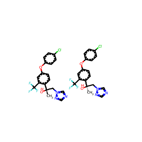 C[C@@](O)(Cn1cncn1)c1ccc(Oc2ccc(Cl)cc2)cc1C(F)(F)F.C[C@](O)(Cn1cncn1)c1ccc(Oc2ccc(Cl)cc2)cc1C(F)(F)F